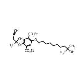 C#CCC(C)(C)Oc1cc(C(=O)OCC)c(OCCCCCCCCC(C)(C)O)cc1C(=O)OCC